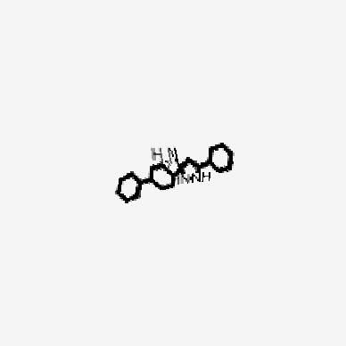 NC1(C2CCC(C3CCCCC3)CC2)CC(C2CCCCC2)NN1